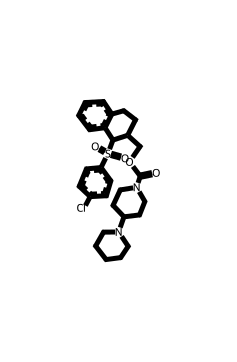 O=C(OCC1CCc2ccccc2C1S(=O)(=O)c1ccc(Cl)cc1)N1CCC(N2CCCCC2)CC1